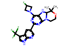 CC1(C)OCCN2c3nc(-c4cnc5[nH]cc(C(F)(F)F)c5c4)nc(N4CC(F)C4)c3NC21